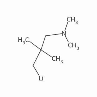 [Li][CH2]C(C)(C)CN(C)C